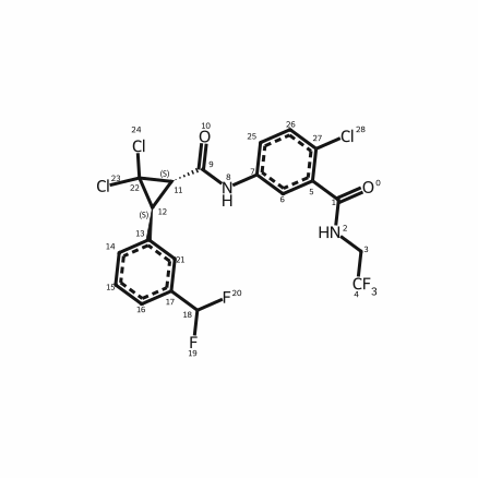 O=C(NCC(F)(F)F)c1cc(NC(=O)[C@@H]2[C@@H](c3cccc(C(F)F)c3)C2(Cl)Cl)ccc1Cl